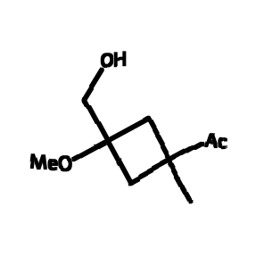 COC1(CO)CC(C)(C(C)=O)C1